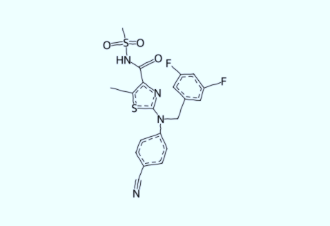 Cc1sc(N(Cc2cc(F)cc(F)c2)c2ccc(C#N)cc2)nc1C(=O)NS(C)(=O)=O